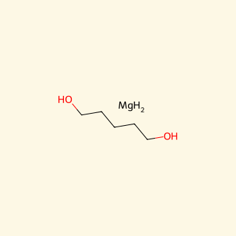 OCCCCCO.[MgH2]